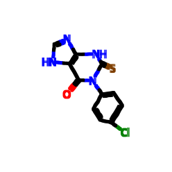 O=c1c2[nH]cnc2[nH]c(=S)n1-c1ccc(Cl)cc1